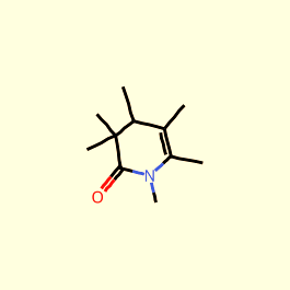 CC1=C(C)N(C)C(=O)C(C)(C)C1C